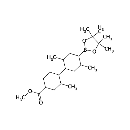 COC(=O)C1CCC(C2CC(C)C(B3OC(C)(C)C(C)(C)O3)CC2C)C(C)C1